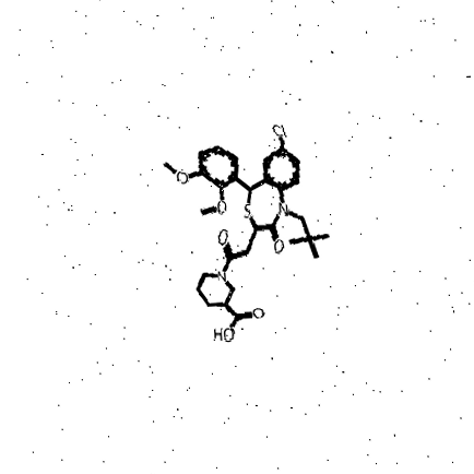 COc1cccc(C2SC(CC(=O)N3CCCC(C(=O)O)C3)C(=O)N(CC(C)(C)C)c3ccc(Cl)cc32)c1OC